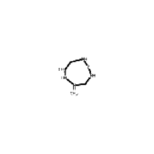 [CH2].[CH2].[CH]1CNCNCNN1